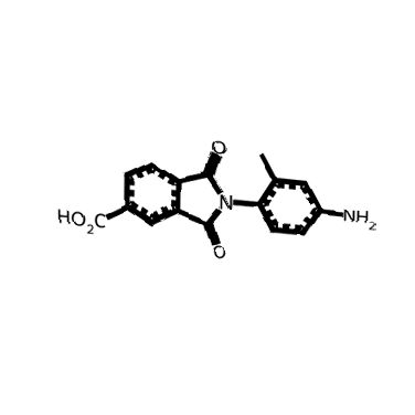 Cc1cc(N)ccc1N1C(=O)c2ccc(C(=O)O)cc2C1=O